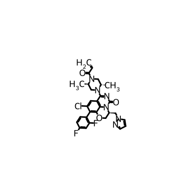 C=CC(=O)N1C[C@H](C)N(c2nc(=O)n3c4c(c(-c5ccc(F)cc5F)c(Cl)cc24)OC[C@@H]3Cn2cccn2)C[C@H]1C